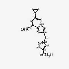 O=Cc1cc(C2CC2)cn2cc(Cn3cc(C(=O)O)cn3)nc12